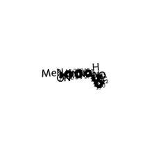 CNC(=O)c1ccc(N2CCN(C3CCC(c4cc5cccc(F)c5c(=O)[nH]4)C3)CC2)cn1